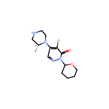 C[C@@H]1CNCCN1c1cnn(C2CCCCO2)c(=O)c1Cl